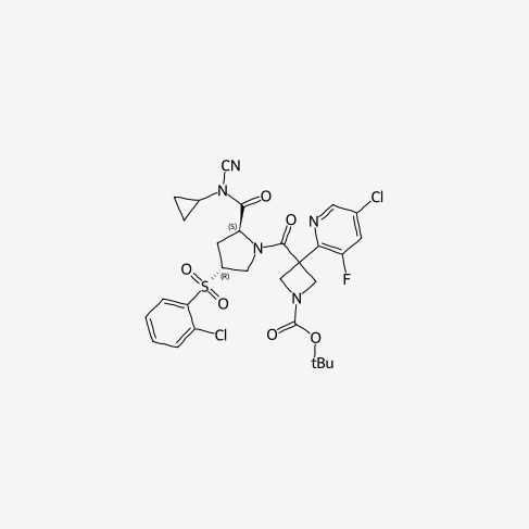 CC(C)(C)OC(=O)N1CC(C(=O)N2C[C@H](S(=O)(=O)c3ccccc3Cl)C[C@H]2C(=O)N(C#N)C2CC2)(c2ncc(Cl)cc2F)C1